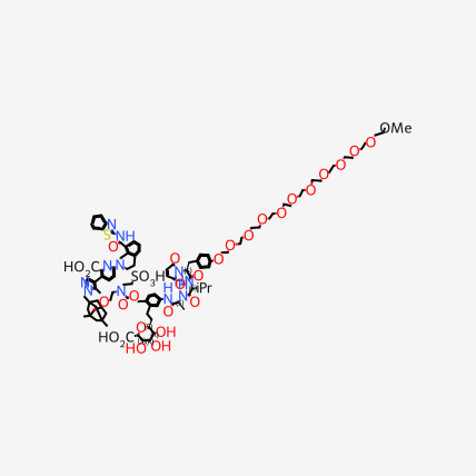 COCCOCCOCCOCCOCCOCCOCCOCCOCCOCCOCCOc1ccc(C[C@@H](C(=O)N[C@H](C(=O)N[C@@H](C)C(=O)Nc2ccc(COC(=O)N(CCOC34CC5(C)CC(C)(CC(Cn6ncc(-c7ccc(N8CCc9cccc(C(=O)Nc%10nc%11ccccc%11s%10)c9C8)nc7C(=O)O)c6C)(C5)C3)C4)CCS(=O)(=O)O)c(CC[C@@H]3OC(C(=O)O)[C@@H](O)[C@H](O)[C@H]3O)c2)C(C)C)N2C(=O)C=CC2=O)cc1